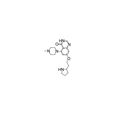 CN1CCN(c2cc(OCCC3CCCN3)cc3nc[nH]c(=O)c23)CC1